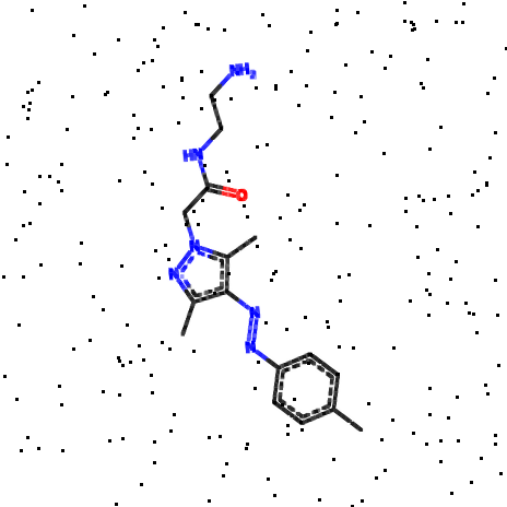 Cc1ccc(N=Nc2c(C)nn(CC(=O)NCCN)c2C)cc1